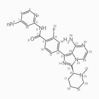 CCCc1ccnc(NC(=O)c2ccc(-c3nc([C@@H]4CCCCN4C)n4ccnc(N)c34)cc2F)c1